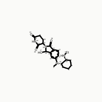 CCN[C@H]1CCCC[C@@H]1N(C)c1ccc2c(c1)C(O)N(C1CCC(=O)NC1=O)C2=O